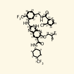 O=C(N[C@H]1CC[C@H](C(F)(F)F)CC1)c1cc2nc(Nc3cc(CNC(=O)c4sccc4Cl)ccc3C(F)(F)F)[nH]c2nc1OCC(F)F